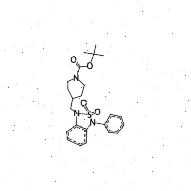 CC(C)(C)OC(=O)N1CCC(CN2c3ccccc3N(c3ccccc3)S2(=O)=O)CC1